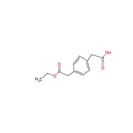 CCOC(=O)Cc1ccc(CC(=O)O)cc1